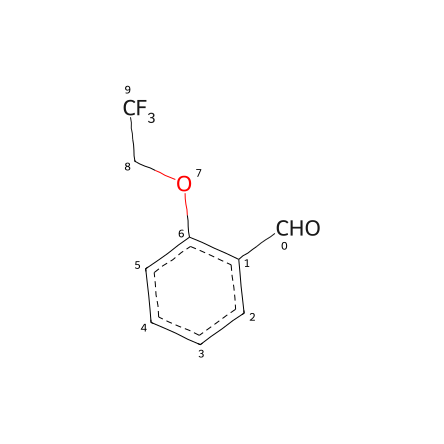 O=Cc1ccccc1OCC(F)(F)F